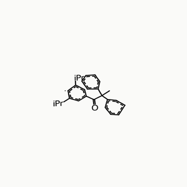 CC(C)c1[c]c(C(C)C)cc(C(=O)C(C)(c2ccccc2)c2ccccc2)c1